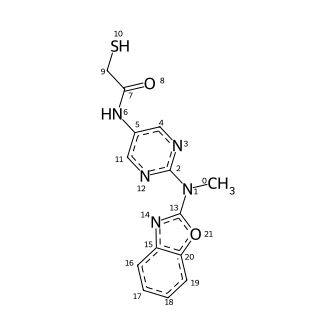 CN(c1ncc(NC(=O)CS)cn1)c1nc2ccccc2o1